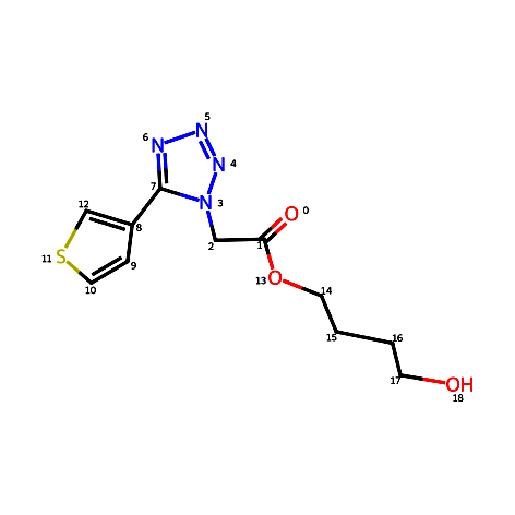 O=C(Cn1nnnc1-c1ccsc1)OCCCCO